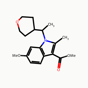 COC(=O)c1c(C)n(C(C)C2CCOCC2)c2cc(OC)ccc12